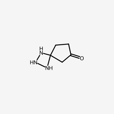 O=C1CCC2(C1)NNN2